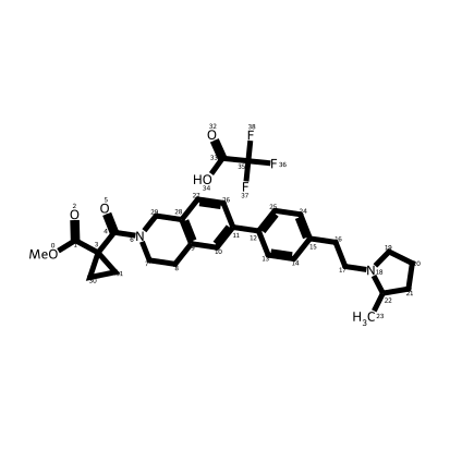 COC(=O)C1(C(=O)N2CCc3cc(-c4ccc(CCN5CCCC5C)cc4)ccc3C2)CC1.O=C(O)C(F)(F)F